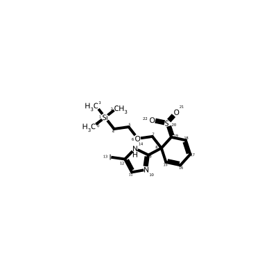 C[Si](C)(C)CCOCC1(c2ncc(I)[nH]2)C=CC=CC1=S(=O)=O